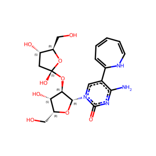 Nc1nc(=O)n([C@@H]2O[C@H](CO)[C@H](O)[C@H]2O[C@]2(O)C[C@H](O)[C@@H](CO)O2)cc1C1=CC=CC=CN1